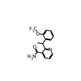 CC(c1ccccc1OC(F)(F)F)c1ncccc1C(N)=O